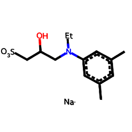 CCN(CC(O)CS(=O)(=O)O)c1cc(C)cc(C)c1.[Na]